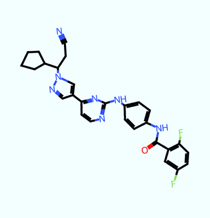 N#CCC(C1CCCC1)n1cc(-c2ccnc(Nc3ccc(NC(=O)c4cc(F)ccc4F)cc3)n2)cn1